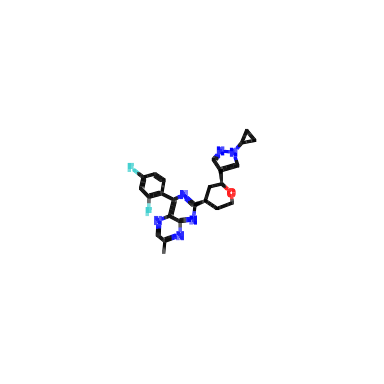 Cc1cnc2c(-c3ccc(F)cc3F)nc([C@@H]3CCO[C@H](c4cnn(C5CC5)c4)C3)nc2n1